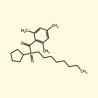 CCCCCCCCP(=O)(C(=O)c1c(C)cc(C)cc1C)C1CCCC1